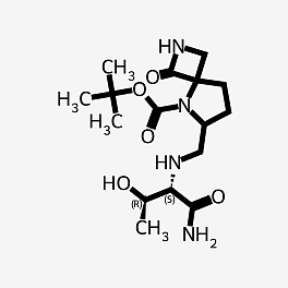 C[C@@H](O)[C@H](NCC1CCC2(CNC2=O)N1C(=O)OC(C)(C)C)C(N)=O